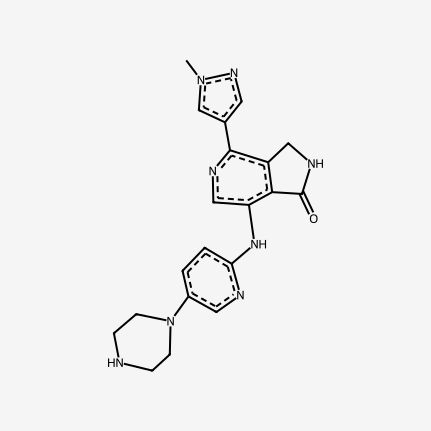 Cn1cc(-c2ncc(Nc3ccc(N4CCNCC4)cn3)c3c2CNC3=O)cn1